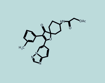 CC(=O)OCC(=O)NC1CCC2(CC1)OC(c1ccc3ncnn3c1)=C(c1cccc(C)c1)C2=O